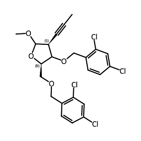 CC#C[C@@H]1C(OC)O[C@H](COCc2ccc(Cl)cc2Cl)C1OCc1ccc(Cl)cc1Cl